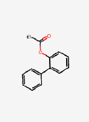 [CH2]CC(=O)Oc1ccccc1-c1ccccc1